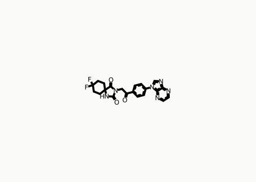 O=C(CN1C(=O)NC2(CCC(F)(F)CC2)C1=O)c1ccc(-n2cnc3nccnc32)cc1